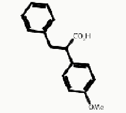 COc1ccc(C(Cc2ccccc2)C(=O)O)cc1